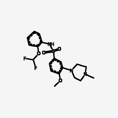 COc1ccc(S(=O)(=O)Nc2ccccc2OC(F)F)cc1N1CCN(C)CC1